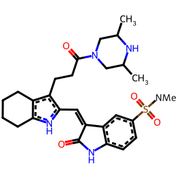 CNS(=O)(=O)c1ccc2c(c1)/C(=C/c1[nH]c3c(c1CCC(=O)N1CC(C)NC(C)C1)CCCC3)C(=O)N2